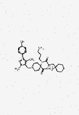 CCCCN1C(=O)[C@@H](CC2(O)CCCCC2)NC(=O)C12CCN(Cc1c(C)nn(-c3ccc(O)cc3)c1C)CC2